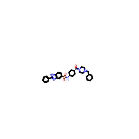 O=C([C@H]1CC[C@H](NS(=O)(=O)c2ccc3[nH]c(-c4ccccc4)nc3c2)CC1)N1CCN(CC2CCCCC2)CC1